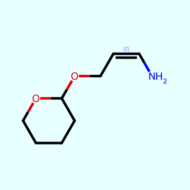 N/C=C\COC1CCCCO1